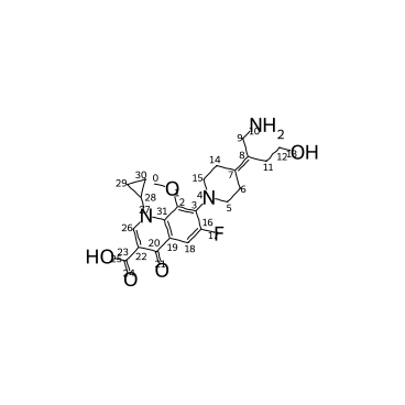 COc1c(N2CCC(=C(CN)CCO)CC2)c(F)cc2c(=O)c(C(=O)O)cn(C3CC3)c12